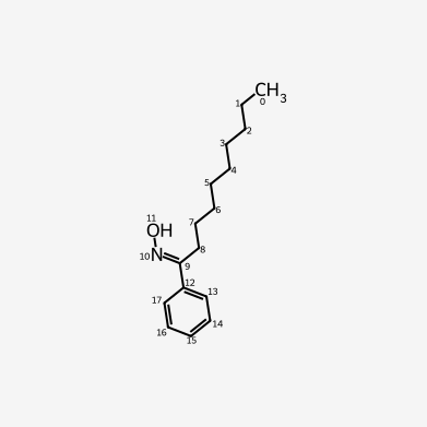 CCCCCCCCCC(=NO)c1ccccc1